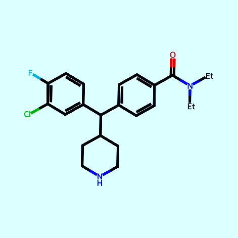 CCN(CC)C(=O)c1ccc(C(c2ccc(F)c(Cl)c2)C2CCNCC2)cc1